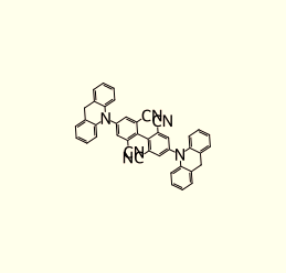 N#Cc1cc(N2c3ccccc3Cc3ccccc32)cc(C#N)c1-c1c(C#N)cc(N2c3ccccc3Cc3ccccc32)cc1C#N